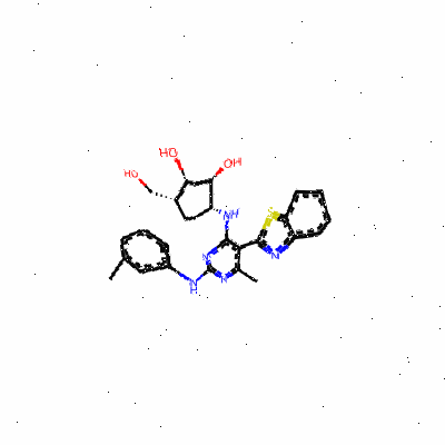 Cc1cccc(Nc2nc(C)c(-c3nc4ccccc4s3)c(N[C@@H]3C[C@H](CO)[C@@H](O)[C@H]3O)n2)c1